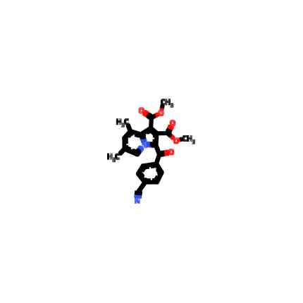 COC(=O)c1c(C(=O)OC)c2c(C)cc(C)cn2c1C(=O)c1ccc(C#N)cc1